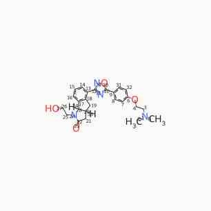 CN(C)CCOc1ccc(-c2nc(-c3cccc4c3C[C@@H]3CC(=O)N(CCO)[C@H]43)no2)cc1